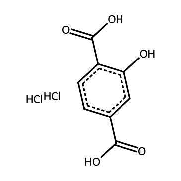 Cl.Cl.O=C(O)c1ccc(C(=O)O)c(O)c1